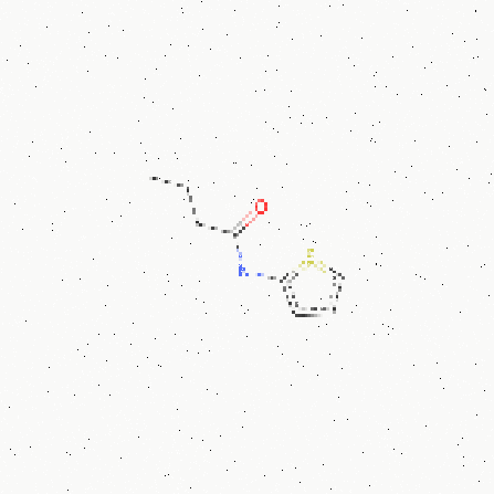 CCCC(=O)[N]c1cccs1